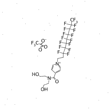 O=C(c1cc[n+](CCC(F)(F)C(F)(F)C(F)(F)C(F)(F)C(F)(F)C(F)(F)C(F)(F)C(F)(F)F)cc1)N(CCO)CCO.O=S(=O)([O-])C(F)(F)F